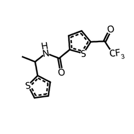 CC(NC(=O)c1ccc(C(=O)C(F)(F)F)s1)c1cccs1